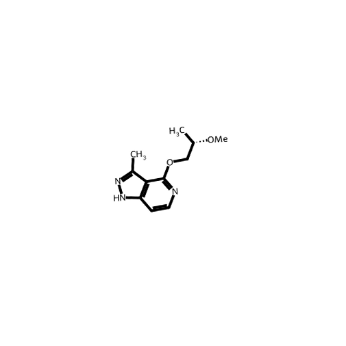 CO[C@@H](C)COc1nccc2[nH]nc(C)c12